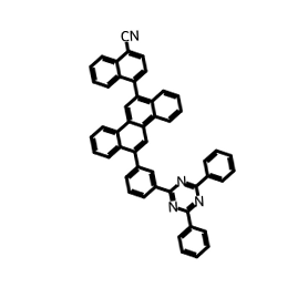 N#Cc1ccc(-c2cc3c4ccccc4c(-c4cccc(-c5nc(-c6ccccc6)nc(-c6ccccc6)n5)c4)cc3c3ccccc23)c2ccccc12